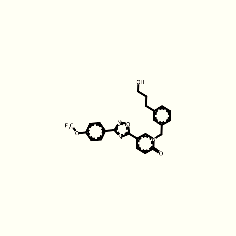 O=c1ccc(-c2nc(-c3ccc(OC(F)(F)F)cc3)no2)cn1Cc1cccc(CCCO)c1